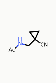 CC(=O)NCC1(C#N)CC1